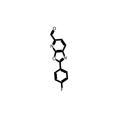 O=Cc1ccc2nc(-c3ccc(F)cc3)oc2n1